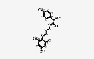 CC(C)C(C(=O)OCCCOc1c(Cl)cc(O)cc1Cl)c1ccc(Cl)cc1